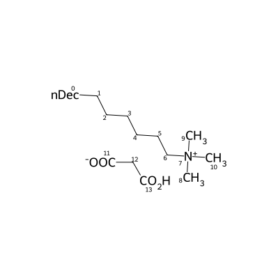 CCCCCCCCCCCCCCCC[N+](C)(C)C.O=C([O-])CC(=O)O